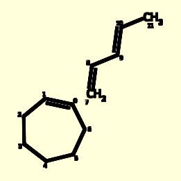 C1=CCCCCC1.C=CC=CC